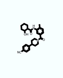 Cc1ccc(C(=O)N2CCC(c3ccc(C#N)cc3)CC2)cc1NC(=O)C1CCCCC1O